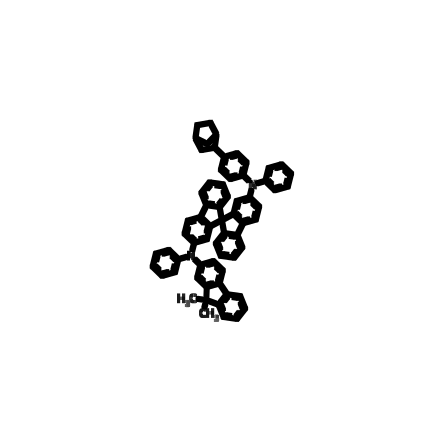 CC1(C)c2ccccc2-c2ccc(N(c3ccccc3)c3ccc4c(c3)C3(c5ccccc5-c5ccc(N(c6ccccc6)c6ccc(C7CC8CCC7C8)cc6)cc53)c3ccccc3-4)cc21